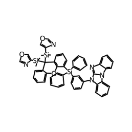 C[Si](C)(c1cocn1)C1([Si](C)(C)c2cocn2)c2ccccc2Oc2c1cccc2[Si](c1ccccc1)(c1ccccc1)c1cccc(-n2c3ccccc3n3c4ccccc4nc23)c1